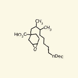 CCCCCCCCCCCCCCCC(C)C(C)CC1(C(=O)O)CCC2OC2C1